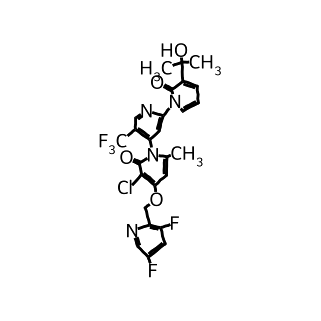 Cc1cc(OCc2ncc(F)cc2F)c(Cl)c(=O)n1-c1cc(-n2cccc(C(C)(C)O)c2=O)ncc1C(F)(F)F